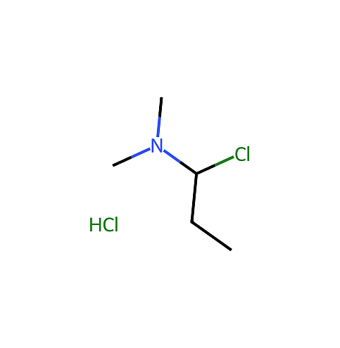 CCC(Cl)N(C)C.Cl